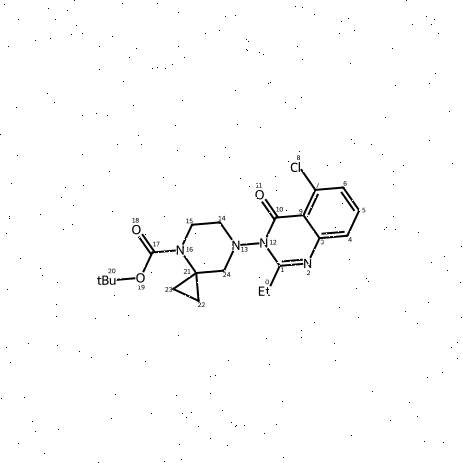 CCc1nc2cccc(Cl)c2c(=O)n1N1CCN(C(=O)OC(C)(C)C)C2(CC2)C1